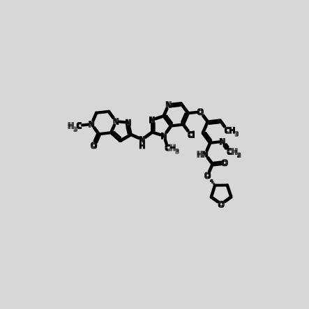 C=N/C(=C\C(=C/C)Oc1cnc2nc(Nc3cc4n(n3)CCN(C)C4=O)n(C)c2c1Cl)NC(=O)O[C@@H]1CCOC1